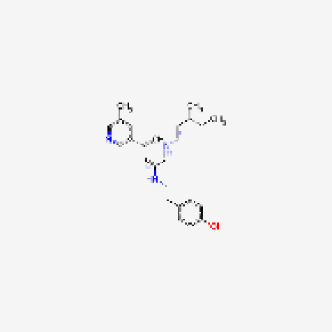 C=C(\C=C(/C=N/C=C/C(C)CC)NCCc1ccc(O)cc1)c1cncc(C)c1